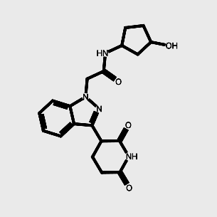 O=C1CCC(c2nn(CC(=O)NC3CCC(O)C3)c3ccccc23)C(=O)N1